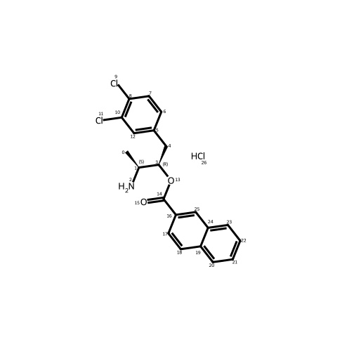 C[C@H](N)[C@@H](Cc1ccc(Cl)c(Cl)c1)OC(=O)c1ccc2ccccc2c1.Cl